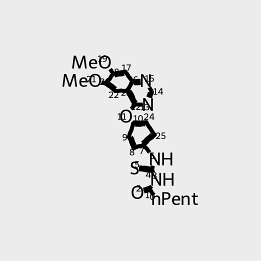 CCCCCC(=O)NC(=S)Nc1ccc(Oc2ncnc3cc(OC)c(OC)cc23)cc1